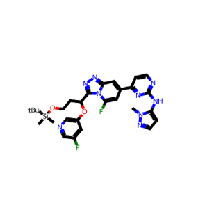 Cn1nccc1Nc1nccc(-c2cc(F)n3c(C(CCO[Si](C)(C)C(C)(C)C)Oc4cncc(F)c4)nnc3c2)n1